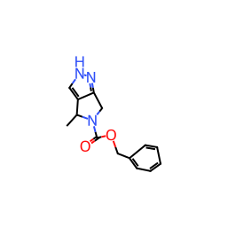 CC1c2c[nH]nc2CN1C(=O)OCc1ccccc1